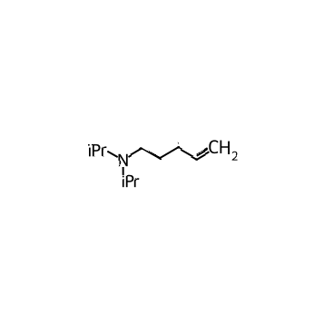 C=C[CH]CCN(C(C)C)C(C)C